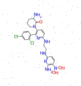 Nc1nc(NCCNc2ccc(N3CCCC(N)C3=O)c(-c3ccc(Cl)cc3Cl)n2)ccc1N(O)O